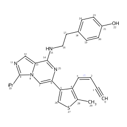 C#C/C=C\c1c(-c2cn3c(C(C)C)ncc3c(NCCc3ccc(O)cc3)n2)csc1C